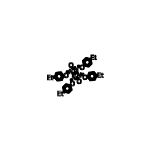 CCC1CCC(OCN2C(=O)N(COC3CCC(CC)CC3)C3C2N(COC2CCC(CC)CC2)C(=O)N3COC2CCC(CC)CC2)CC1